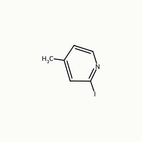 Cc1ccnc(I)c1